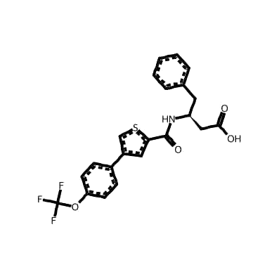 O=C(O)C[C@H](Cc1ccccc1)NC(=O)c1cc(-c2ccc(OC(F)(F)F)cc2)cs1